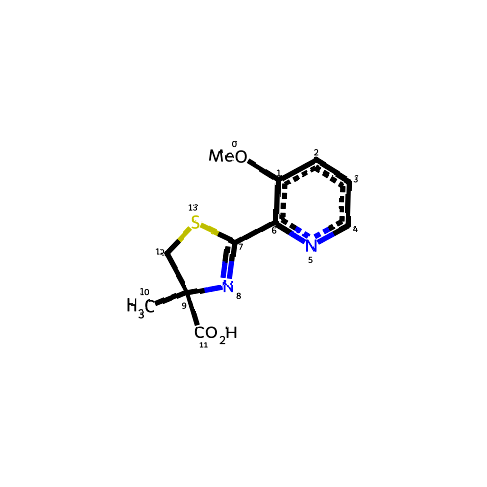 COc1cccnc1C1=NC(C)(C(=O)O)CS1